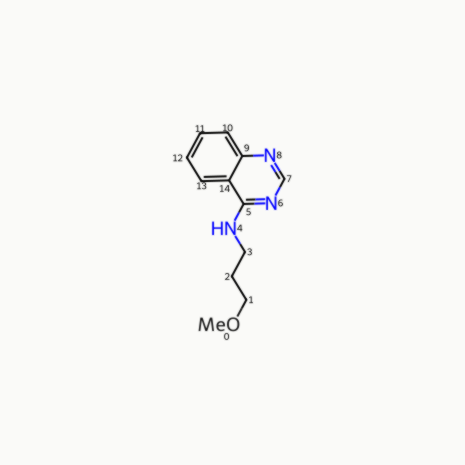 COCCCNc1ncnc2ccccc12